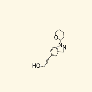 OCC#Cc1ccc2c(cnn2C2CCCCO2)c1